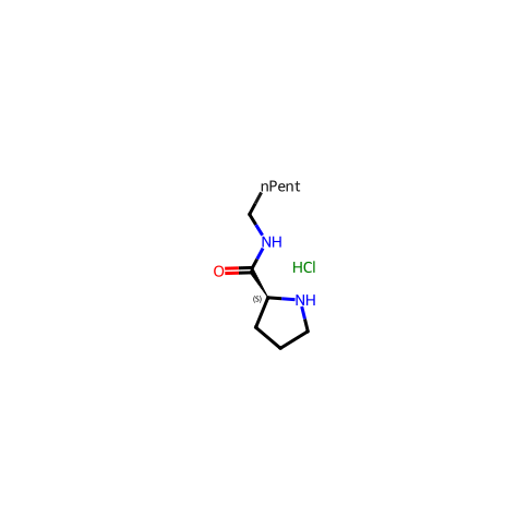 CCCCCCNC(=O)[C@@H]1CCCN1.Cl